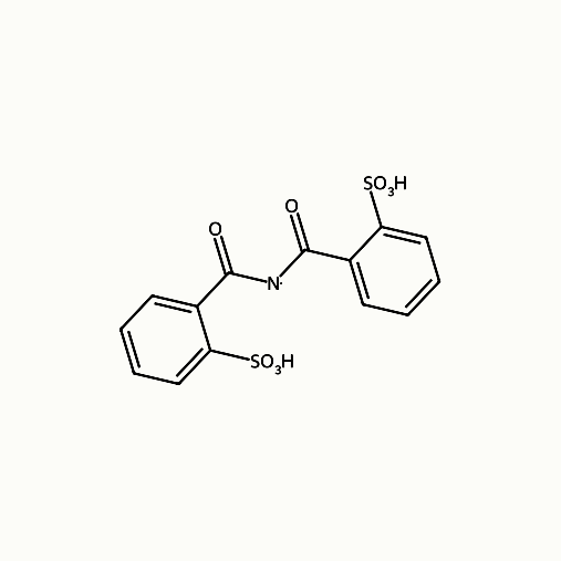 O=C([N]C(=O)c1ccccc1S(=O)(=O)O)c1ccccc1S(=O)(=O)O